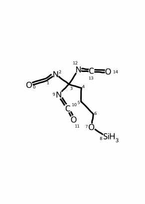 O=C=NC(CCCO[SiH3])(N=C=O)N=C=O